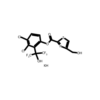 O=C(Oc1ccc(Cl)c(Cl)c1C(O)(C(F)(F)F)C(F)(F)F)c1nc(CO)cs1.[KH]